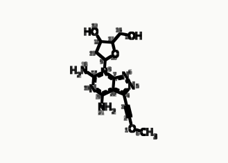 COC#Cc1nnc2n(C3CC(O)C(CO)O3)c(N)nc(N)c1-2